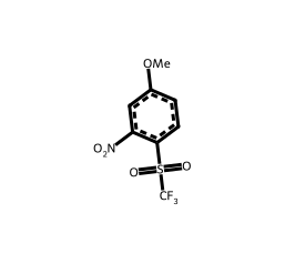 COc1ccc(S(=O)(=O)C(F)(F)F)c([N+](=O)[O-])c1